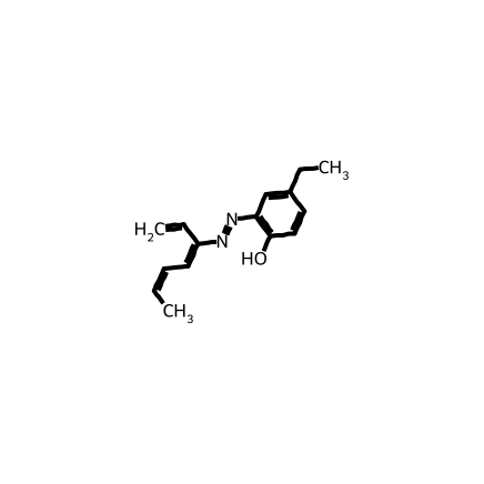 C=CC(=C\C=C/C)/N=N/c1cc(CC)ccc1O